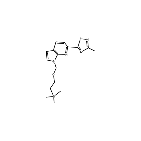 Cc1nsc(-c2ccc3ccn(COCC[Si](C)(C)C)c3n2)n1